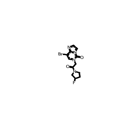 O=C(Cn1cc(Br)c2nccn2c1=O)N1CCC(F)C1